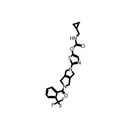 O=C(NCC1CC1)Oc1cnc(N2CC3=C(CN(C(=O)c4ccccc4C(F)(F)F)C3)C2)s1